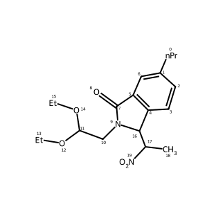 CCCc1ccc2c(c1)C(=O)N(CC(OCC)OCC)C2C(C)[N+](=O)[O-]